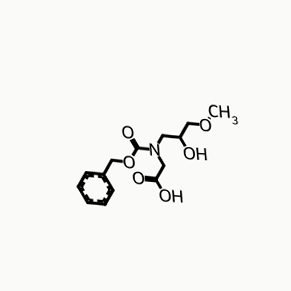 COCC(O)CN(CC(=O)O)C(=O)OCc1ccccc1